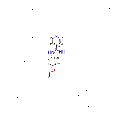 CCOc1ccc(NC(=N)c2ccncc2)cc1